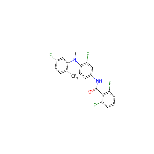 CN(c1ccc(NC(=O)c2c(F)cccc2F)cc1F)c1cc(F)ccc1C(F)(F)F